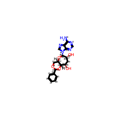 Nc1ncnc2c1ncn2[C@@H]1O[C@@H]2COC(c3ccccc3)O[C@H]2[C@H](O)C[C@H]1O